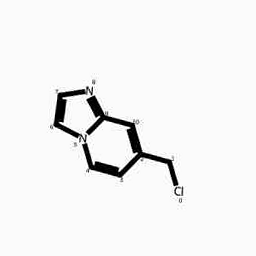 ClCc1ccn2ccnc2c1